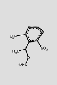 CC(O[C]=O)c1c([N+](=O)[O-])cccc1[N+](=O)[O-]